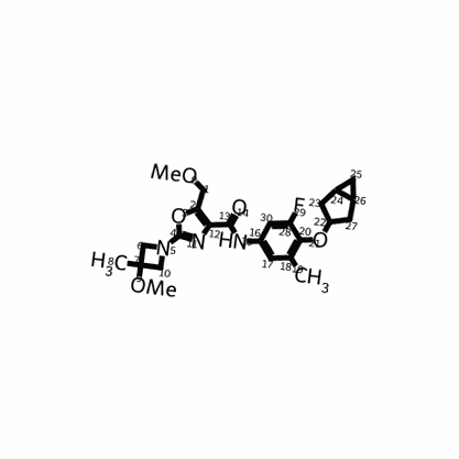 COCc1oc(N2CC(C)(OC)C2)nc1C(=O)Nc1cc(C)c(OC2CC3CC3C2)c(F)c1